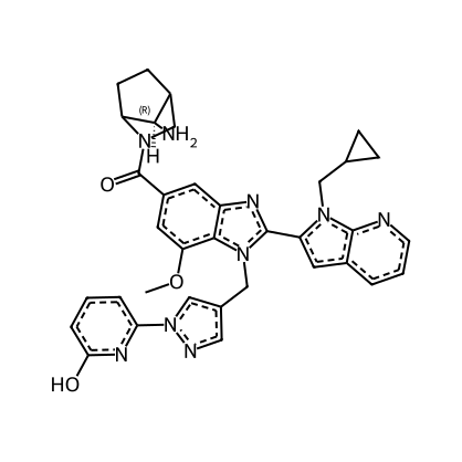 COc1cc(C(=O)N2CC3CCC2[C@@H]3N)cc2nc(-c3cc4cccnc4n3CC3CC3)n(Cc3cnn(-c4cccc(O)n4)c3)c12